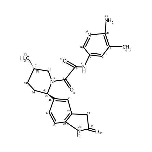 Cc1cc(NC(=O)C(=O)N2C[C@@H](C)CC[C@@H]2c2ccc3c(c2)CC(=O)N3)cnc1N